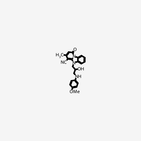 COc1ccc(NCC(O)Cn2c3ccccc3n3c(=O)cc(C)c(C#N)c23)cc1